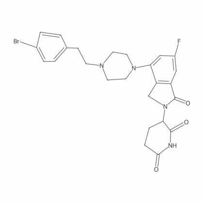 O=C1CCC(N2Cc3c(cc(F)cc3N3CCN(CCc4ccc(Br)cc4)CC3)C2=O)C(=O)N1